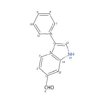 O=Cc1ccc2c(-c3ccccc3)c[nH]c2c1